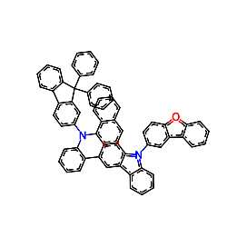 c1ccc(C2(c3ccccc3)c3ccccc3-c3ccc(N(c4ccccc4-c4ccc5c(c4)c4ccccc4n5-c4ccc5oc6ccccc6c5c4)c4cccc5ccccc45)cc32)cc1